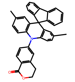 Cc1ccc2c(c1)C1(c3ccccc3-c3ccccc31)c1cc(C)ccc1N2c1ccc2c(c1)CCOC2=O